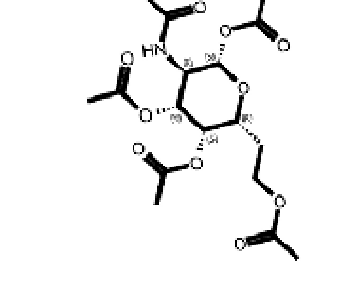 CC(=O)N[C@H]1[C@H](OC(C)=O)O[C@H](CCOC(C)=O)[C@H](OC(C)=O)[C@@H]1OC(C)=O